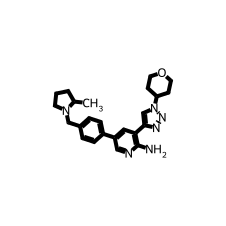 CC1CCCN1Cc1ccc(-c2cnc(N)c(-c3cn(C4CCOCC4)nn3)c2)cc1